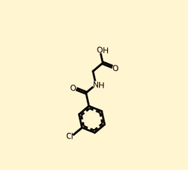 O=C(O)CNC(=O)c1cccc(Cl)c1